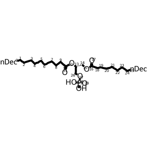 CCCCCCCCCCCCCCCCCCCC(=O)O[C@H](COC(=O)CCCCCCCCCCCCCCCCC)COP(=O)(O)O